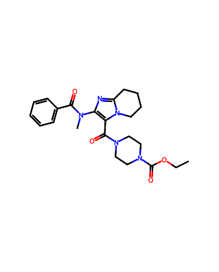 CCOC(=O)N1CCN(C(=O)c2c(N(C)C(=O)c3ccccc3)nc3n2CCCC3)CC1